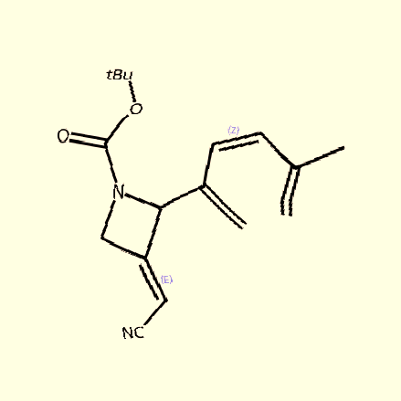 C=C(C)/C=C\C(=C)C1/C(=C/C#N)CN1C(=O)OC(C)(C)C